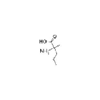 CCCC(C)(C)C(=O)O.N